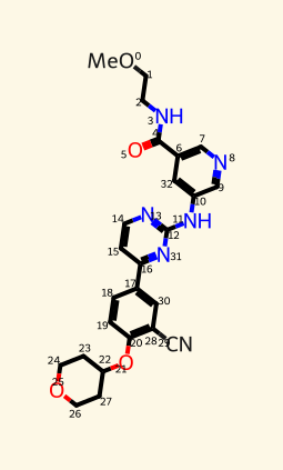 COCCNC(=O)c1cncc(Nc2nccc(-c3ccc(OC4CCOCC4)c(C#N)c3)n2)c1